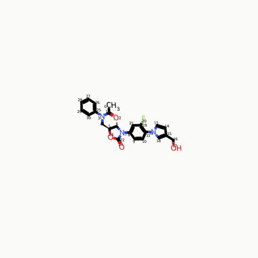 CC(=O)N(C[C@H]1CN(c2ccc(-n3ccc(CO)c3)c(F)c2)C(=O)O1)c1ccccc1